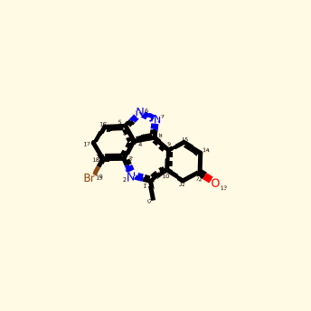 Cc1nc2c3c(nnc=3c3c1CC(=O)C=C3)=CCC=2Br